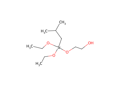 CCO[Si](CC(C)C)(OCC)OCCO